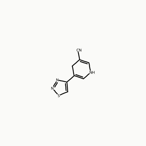 N#CC1=CNC=C(c2csnn2)C1